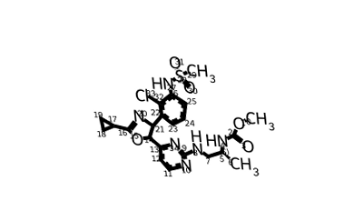 COC(=O)N[C@@H](C)CNc1nccc(C2OC(C3CC3)=NC2c2cccc(NS(C)(=O)=O)c2Cl)n1